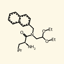 CCOC(CN(Cc1ccc2ccccc2c1)C(=O)[C@@H](N)CC(C)C)OCC